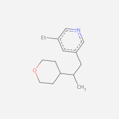 CCc1cncc(CC(C)C2CCOCC2)c1